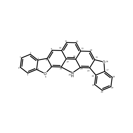 c1ccc2c(c1)oc1c2cc2ccc3cc4oc5ccccc5c4c4[nH]c1c2c34